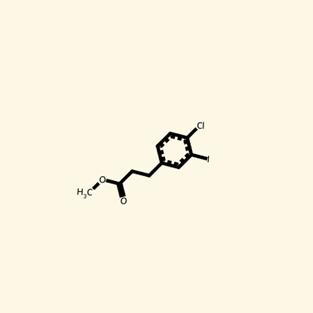 COC(=O)CCc1ccc(Cl)c(I)c1